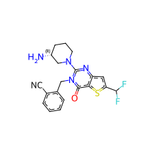 N#Cc1ccccc1Cn1c(N2CCC[C@@H](N)C2)nc2cc(C(F)F)sc2c1=O